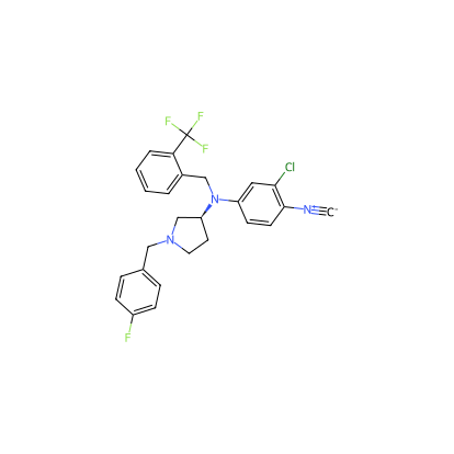 [C-]#[N+]c1ccc(N(Cc2ccccc2C(F)(F)F)[C@H]2CCN(Cc3ccc(F)cc3)C2)cc1Cl